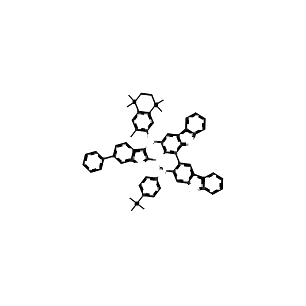 Cc1cc2c(cc1N1c3cc4c(oc5ccccc54)c4c3B(c3sc5cc(-c6ccccc6)ccc5c31)N(c1ccc(C(C)(C)C)cc1)c1cc3oc5ccccc5c3cc1-4)C(C)(C)CCC2(C)C